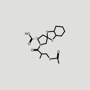 CC(=O)SCC(C)C(=O)N1CC2(C[C@H]1C(=O)O)SC1CCCCC1S2